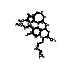 C=N/N=C\CCC(C)CC(OC1=Cc2sc(C)nc2CCC1)c1cc(/C=N/OC)c(F)cn1